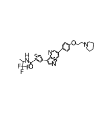 CC(NC(=O)c1cc(-c2cnn3cc(-c4ccc(OCCN5CCCCC5)cc4)cnc23)cs1)C(F)(F)F